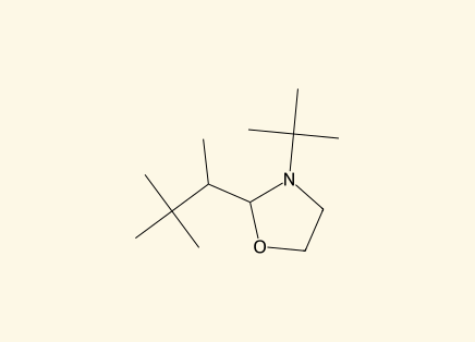 CC(C1OCCN1C(C)(C)C)C(C)(C)C